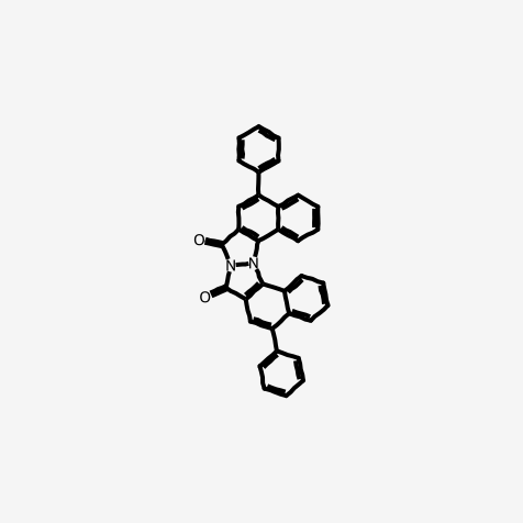 O=c1c2cc(-c3ccccc3)c3ccccc3c2n2c3c(cc(-c4ccccc4)c4ccccc43)c(=O)n12